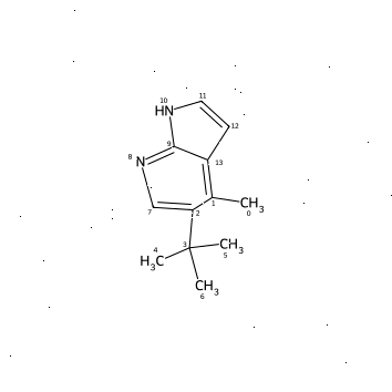 Cc1c(C(C)(C)C)cnc2[nH]ccc12